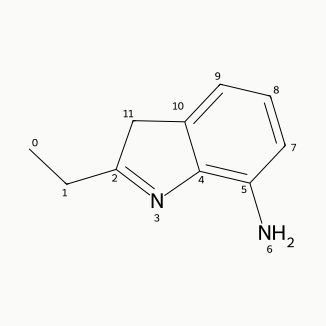 CCC1=Nc2c(N)cccc2C1